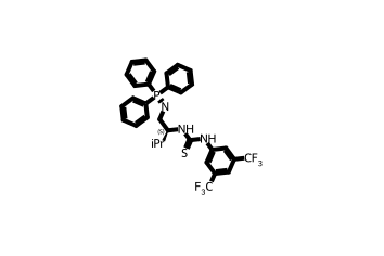 CC(C)[C@@H](CN=P(c1ccccc1)(c1ccccc1)c1ccccc1)NC(=S)Nc1cc(C(F)(F)F)cc(C(F)(F)F)c1